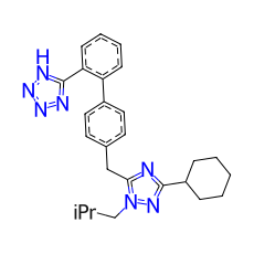 CC(C)Cn1nc(C2CCCCC2)nc1Cc1ccc(-c2ccccc2-c2nnn[nH]2)cc1